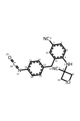 N#Cc1ccc(NC2(C#N)COC2)c(Cc2ccc(N=C=O)cc2)c1